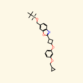 CC(C)(C)[Si](C)(C)OCc1ccc2nc(C3CC(Oc4cccc(OCC5CC5)c4)C3)oc2c1